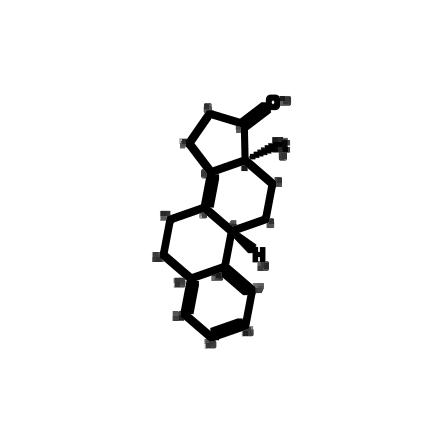 CC[C@]12CC[C@H]3C(=C1CCC2=O)CCc1c[c]ccc13